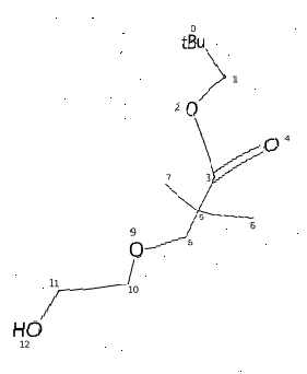 CC(C)(C)COC(=O)C(C)(C)COCCO